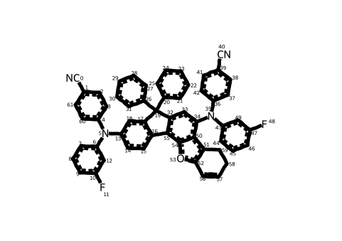 N#Cc1ccc(N(c2cccc(F)c2)c2ccc3c(c2)C(c2ccccc2)(c2ccccc2)c2cc(N(c4ccc(C#N)cc4)c4cccc(F)c4)c4c5c(oc4c2-3)C=CCC5)cc1